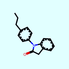 CCCc1ccc(N2C(=O)Cc3ccccc32)cc1